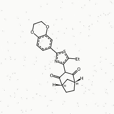 CCc1sc(-c2ccc3c(c2)OCCO3)nc1C1C(=O)[C@@H]2CC[C@@H](C2)C1=O